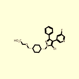 CCc1c(-c2cncc(F)c2)c(-c2ccccc2)nn1C[C@H]1CC[C@@H](COCC(=O)O)CC1